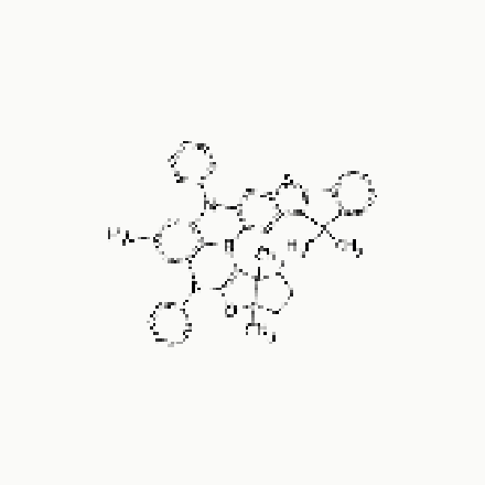 Cc1cc2c3c(c1)N(c1ccccc1)c1cc4sc5c(c4cc1B3C1=C(OC3(C)CCCC13C)N2c1ccccc1)C(C)(C)c1ccccc1-5